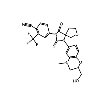 CN1CC(CO)Oc2ccc(N3C(=S)N(c4ccc(C#N)c(C(F)(F)F)c4)C(=O)C34CCOC4)cc21